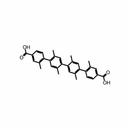 Cc1cc(C(=O)O)ccc1-c1cc(C)c(-c2cc(C)c(-c3ccc(C(=O)O)cc3C)cc2C)cc1C